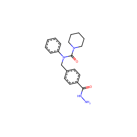 NNC(=O)c1ccc(CN(C(=O)N2CCCCC2)c2ccccc2)cc1